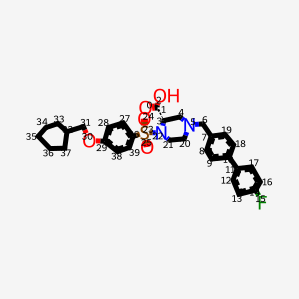 O=C(O)[C@@H]1CN(Cc2ccc(-c3ccc(F)cc3)cc2)CCN1S(=O)(=O)c1ccc(OCC2CCCCC2)cc1